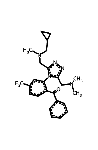 CN(C)Cc1nnc(CN(C)CC2CC2)n1-c1cc(C(F)(F)F)ccc1C(=O)c1ccccc1